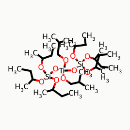 CCC(C)O[Si](OC(C)CC)(OC(C)CC)[O][Ti]([O]CC(C)C)([O]CC(C)C)[O][Si](OC(C)CC)(OC(C)CC)OC(C)CC